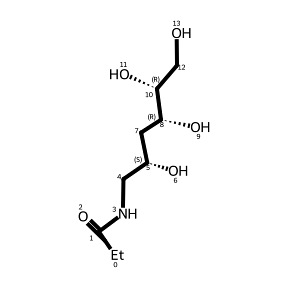 CCC(=O)NC[C@@H](O)C[C@@H](O)[C@H](O)CO